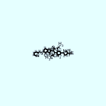 CCOC(=O)C(Cc1ccc(-c2ccc(C(F)(F)F)cn2)cc1)c1[nH]c2ccc(SCc3ccccn3)c(C)c2c1SC(C)(C)C